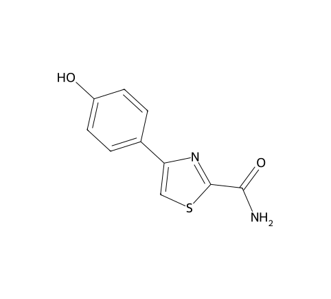 NC(=O)c1nc(-c2ccc(O)cc2)cs1